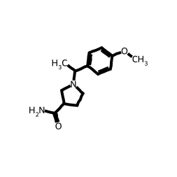 COc1ccc(C(C)N2CCC(C(N)=O)C2)cc1